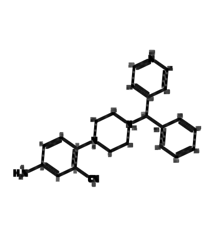 N#Cc1cc(N)ccc1N1CCN(C(c2ccccc2)c2ccncc2)CC1